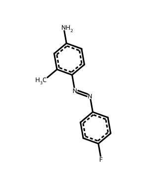 Cc1cc(N)ccc1/N=N/c1ccc(F)cc1